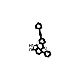 O=C1NC(=O)c2c1ccc(-c1ccccc1)c2C(=O)c1ccc(C#Cc2ccccc2)cc1